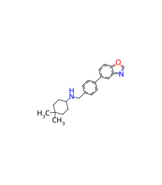 CC1(C)CCC(NCc2ccc(-c3ccc4ocnc4c3)cc2)CC1